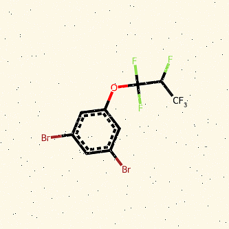 FC(C(F)(F)F)C(F)(F)Oc1cc(Br)[c]c(Br)c1